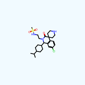 CC(C)C1CCC(C2c3cc(Cl)ccc3C3(CCNCC3)C(=O)N2CCNS(C)(=O)=O)CC1